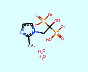 Cc1nccn1CC(O)(P(=O)(O)O)P(=O)(O)O.O.O